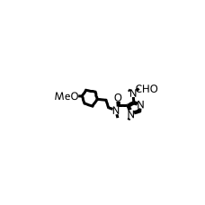 COC1CCC(CCN(C)C(=O)c2c(N(C)C=O)ncn2C)CC1